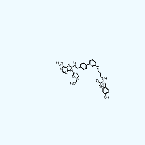 NC(=O)[C@H](Cc1ccc(O)cc1)NCCCOc1cccc(-c2ccc(CNc3nc4c(N)ncnc4n3[C@H]3CC[C@@H](CO)O3)cc2)c1